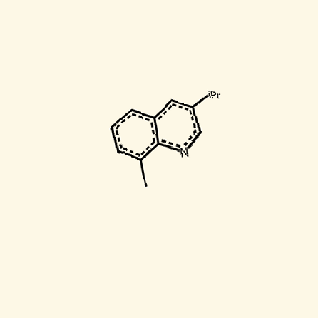 Cc1cccc2cc(C(C)C)cnc12